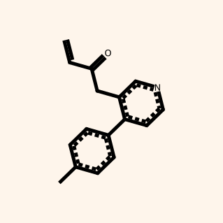 C=CC(=O)Cc1cnccc1-c1ccc(C)cc1